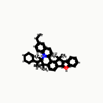 COC1(C)c2ccc3c(c2-c2ccc4cc(CC(C)C)ccc4[n+]2C1(C)C(C)C1CCCCC1)C(C)(C)c1c-3oc2ccccc12